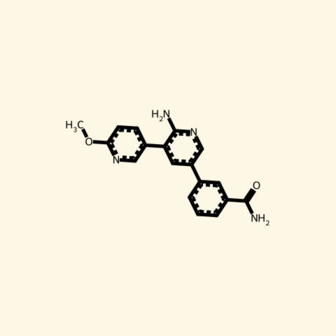 COc1ccc(-c2cc(-c3cccc(C(N)=O)c3)cnc2N)cn1